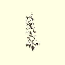 Cn1ccc(S(=O)(=O)N2CCN(c3ccc(C(O)(C(F)(F)F)C(F)(F)F)cc3)CC2)n1